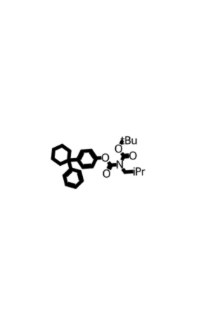 CC(C)CN(C(=O)Oc1ccc(C2(c3ccccc3)CCCCC2)cc1)C(=O)OC(C)(C)C